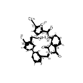 NCc1cc(-c2cccc(CN3C(=O)c4cccc(NC(=O)c5ccc(Cl)s5)c4C3=O)c2)ccc1F